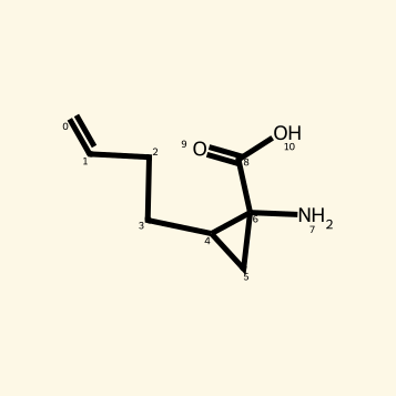 C=CCCC1CC1(N)C(=O)O